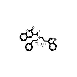 O=C(O)[C@H](Cc1ccccc1)N(CCc1c[nH]c2ccccc12)C(=O)c1cc2ccccc2oc1=O